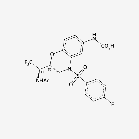 CC(=O)N[C@H]([C@H]1CN(S(=O)(=O)c2ccc(F)cc2)c2cc(NC(=O)O)ccc2O1)C(F)(F)F